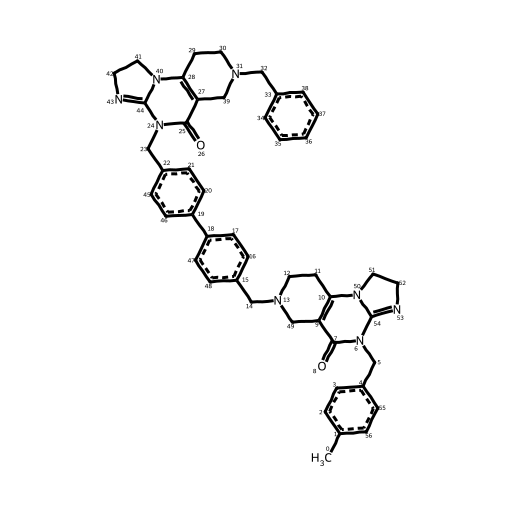 Cc1ccc(CN2C(=O)C3=C(CCN(Cc4ccc(-c5ccc(CN6C(=O)C7=C(CCN(Cc8ccccc8)C7)N7CCN=C67)cc5)cc4)C3)N3CCN=C23)cc1